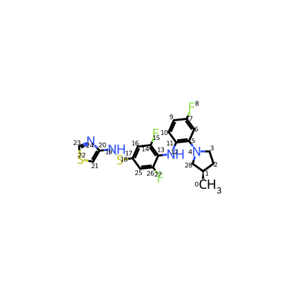 C[C@@H]1CCN(c2cc(F)ccc2Nc2c(F)cc(SNc3cscn3)cc2F)C1